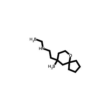 BCNCCC1(B)CCOC2(CCCC2)C1